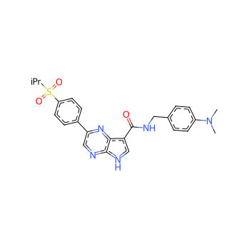 CC(C)S(=O)(=O)c1ccc(-c2cnc3[nH]cc(C(=O)NCc4ccc(N(C)C)cc4)c3n2)cc1